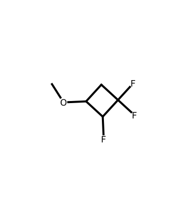 COC1CC(F)(F)C1F